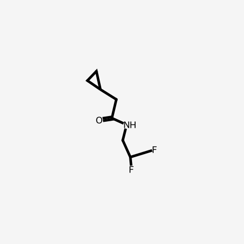 O=C(CC1CC1)NCC(F)F